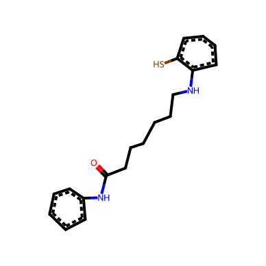 O=C(CCCCCCNc1ccccc1S)Nc1ccccc1